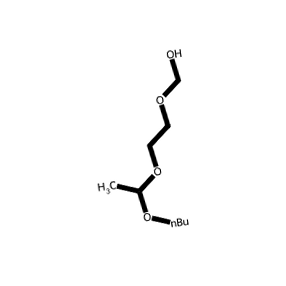 CCCCOC(C)OCCOCO